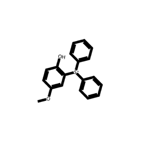 COc1ccc(O)c([S+](c2ccccc2)c2ccccc2)c1